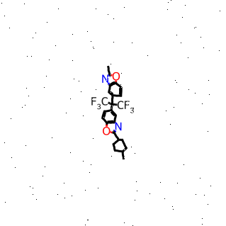 Cc1nc2cc(C(c3ccc4oc(C5CCC(C)CC5)nc4c3)(C(F)(F)F)C(F)(F)F)ccc2o1